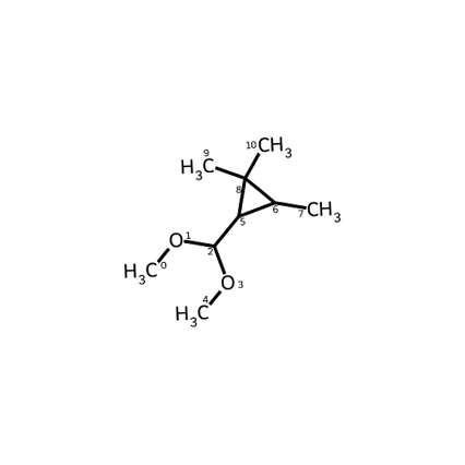 COC(OC)C1C(C)C1(C)C